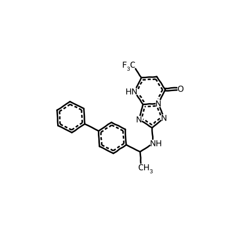 CC(Nc1nc2[nH]c(C(F)(F)F)cc(=O)n2n1)c1ccc(-c2ccccc2)cc1